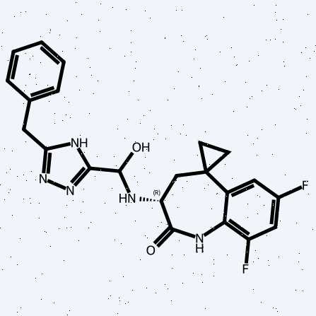 O=C1Nc2c(F)cc(F)cc2C2(CC2)C[C@H]1NC(O)c1nnc(Cc2ccccc2)[nH]1